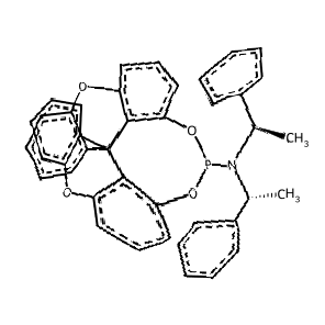 C[C@H](c1ccccc1)N([C@H](C)c1ccccc1)P1Oc2cccc3c2C2(c4ccccc4O3)c3ccccc3Oc3cccc(c32)O1